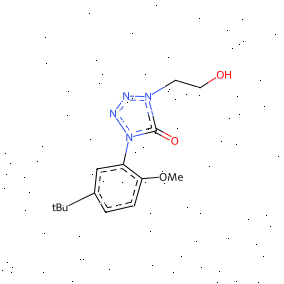 COc1ccc(C(C)(C)C)cc1-n1nnn(CCO)c1=O